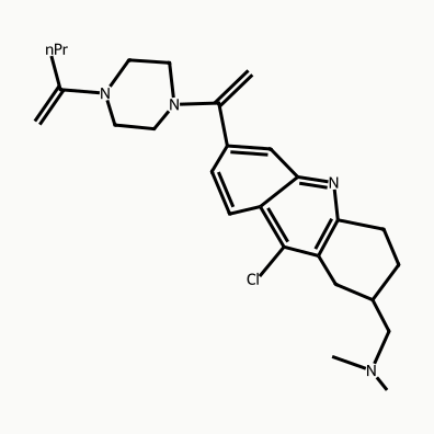 C=C(CCC)N1CCN(C(=C)c2ccc3c(Cl)c4c(nc3c2)CCC(CN(C)C)C4)CC1